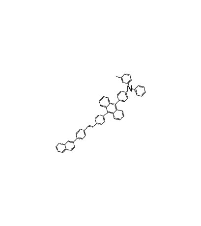 Cc1cccc(N(c2ccccc2)c2ccc(-c3c4ccccc4c(-c4ccc(/C=C/c5ccc(-c6ccc7ccccc7c6)cc5)cc4)c4ccccc34)cc2)c1